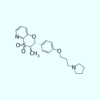 C[C@@H]1[C@@H](c2ccc(OCCCN3CCCC3)cc2)Oc2cccnc2S1(=O)=O